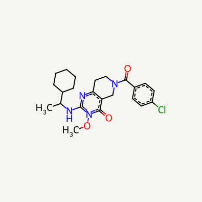 COn1c(NC(C)C2CCCCC2)nc2c(c1=O)CN(C(=O)c1ccc(Cl)cc1)CC2